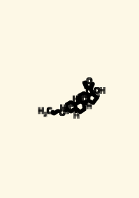 C=CCOC1CC[C@@]2(C)[C@H](CC[C@@H]3[C@@H]2CC[C@]2(C)[C@@](O)(c4ccoc4)CC[C@]32O)C1